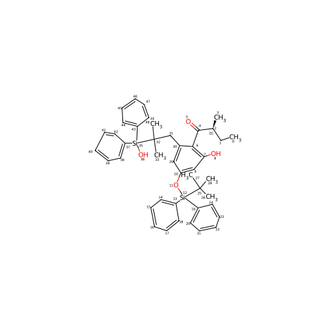 CC[C@H](C)C(=O)c1c(O)cc(O[Si](c2ccccc2)(c2ccccc2)C(C)(C)C)cc1CC(C)(C)[Si](O)(c1ccccc1)c1ccccc1